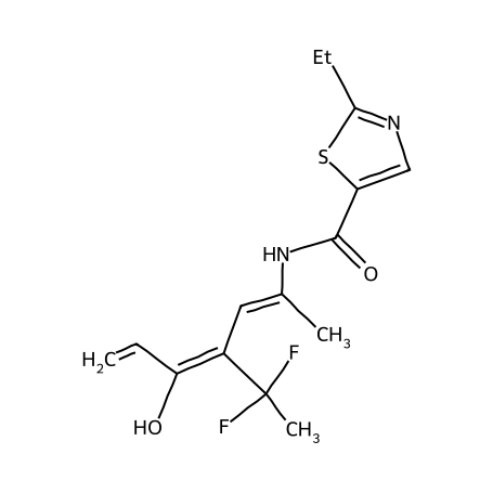 C=C/C(O)=C(\C=C(/C)NC(=O)c1cnc(CC)s1)C(C)(F)F